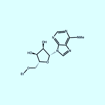 CCOC[C@H]1O[C@@H](n2cnc3c(NC)ncnc32)[C@H](O)[C@@H]1O